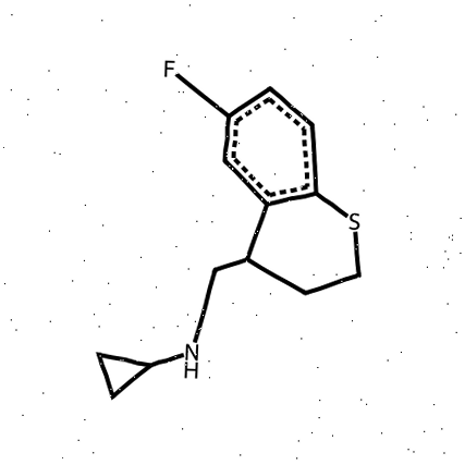 Fc1ccc2c(c1)C(CNC1CC1)CCS2